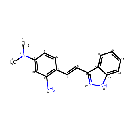 CN(C)c1ccc(/C=C/c2n[nH]c3ccccc23)c(N)c1